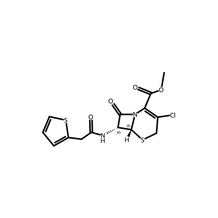 COC(=O)C1=C(Cl)CS[C@@H]2[C@H](NC(=O)Cc3cccs3)C(=O)N12